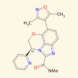 CNC(=O)c1nc2ccc(-c3c(C)noc3C)c3c2n1[C@@H](c1ccccn1)CO3